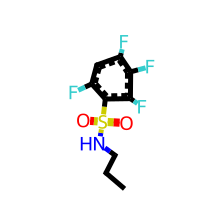 CCCNS(=O)(=O)c1c(F)cc(F)c(F)c1F